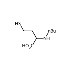 CCCCNC(CCS)C(=O)O